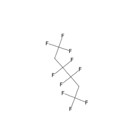 FC(F)(F)CC(F)(F)C(F)(F)CC(F)(F)F